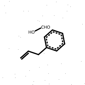 C=CCc1ccccc1.O=CO